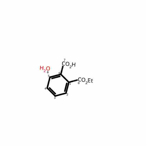 CCOC(=O)c1ccccc1C(=O)O.O